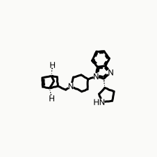 C1=C[C@H]2C[C@@H]1CC2CN1CCC(n2c([C@@H]3CCNC3)nc3ccccc32)CC1